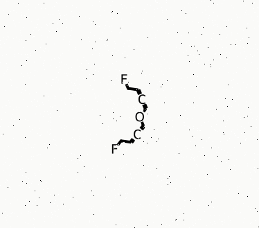 FCC=C=COC=C=CCF